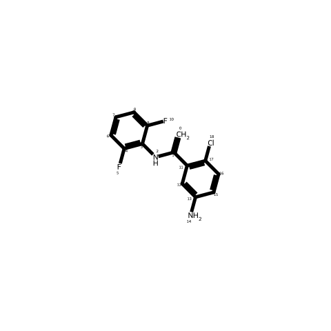 C=C(Nc1c(F)cccc1F)c1cc(N)ccc1Cl